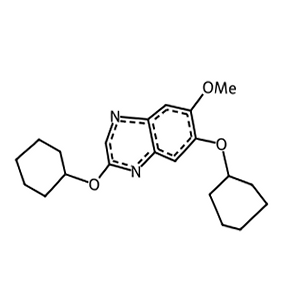 COc1cc2ncc(OC3CCCCC3)nc2cc1OC1CCCCC1